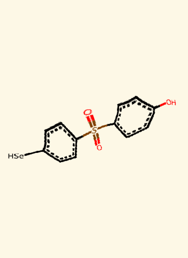 O=S(=O)(c1ccc(O)cc1)c1ccc([SeH])cc1